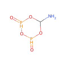 NC1O[PH](=O)O[PH](=O)O1